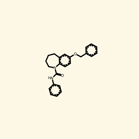 O=C(Nc1ccccc1)N1CCCCc2cc(OCc3ccccc3)ccc21